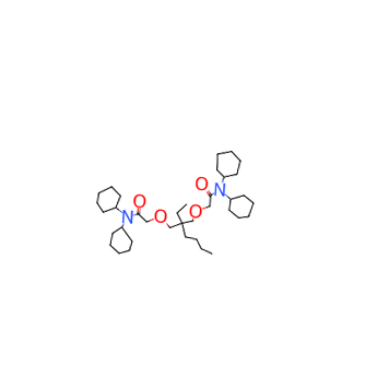 CCCCC(CC)(COCC(=O)N(C1CCCCC1)C1CCCCC1)COCC(=O)N(C1CCCCC1)C1CCCCC1